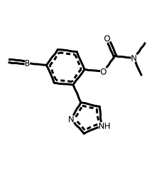 C=Bc1ccc(OC(=O)N(C)C)c(-c2c[nH]cn2)c1